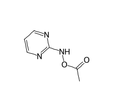 CC(=O)ONc1ncccn1